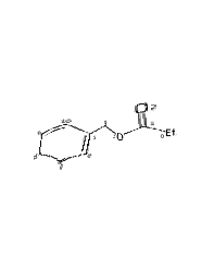 CCC(=O)OCC1=CCCC=C1